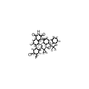 Cc1cc2c(=O)[nH]c(=O)[nH]c2c(SCC2(CO[Si](c3ccccc3)(c3ccccc3)C(C)(C)C)CC2)c1-c1cc(Cl)c(F)cc1F